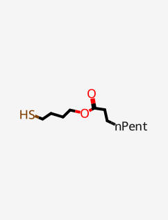 CCCCCCCC(=O)OCCCCS